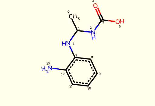 CC(NC(=O)O)Nc1ccccc1N